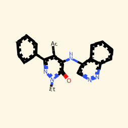 CCn1nc(-c2ccccc2)c(C(C)=O)c(Nc2cnnc3ccccc23)c1=O